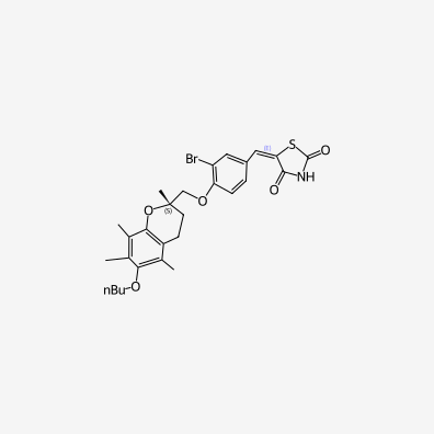 CCCCOc1c(C)c(C)c2c(c1C)CC[C@@](C)(COc1ccc(/C=C3/SC(=O)NC3=O)cc1Br)O2